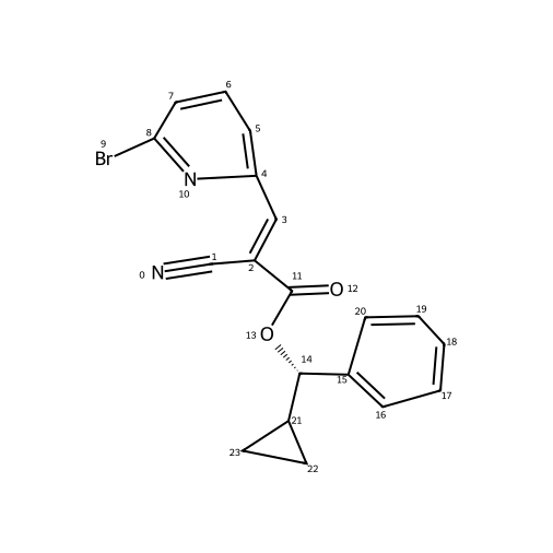 N#C/C(=C\c1cccc(Br)n1)C(=O)O[C@H](c1ccccc1)C1CC1